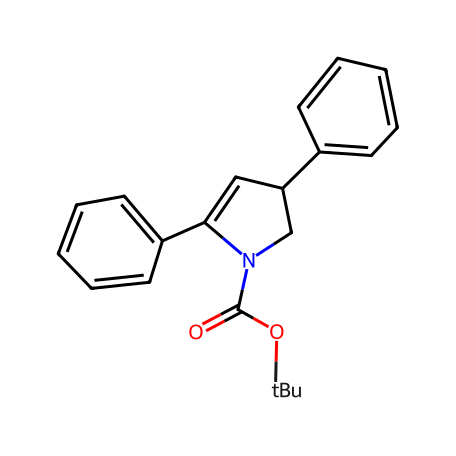 CC(C)(C)OC(=O)N1CC(c2ccccc2)C=C1c1ccccc1